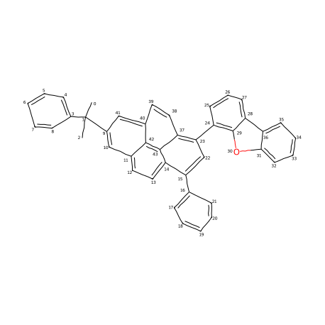 CC(C)(c1ccccc1)c1cc2ccc3c(-c4ccccc4)cc(-c4cccc5c4oc4ccccc45)c4ccc(c1)c2c34